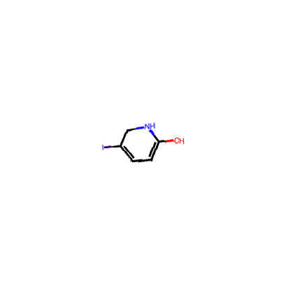 OC1=C[C]=C(I)CN1